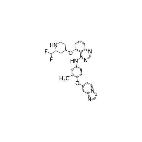 Cc1cc(Nc2ncnc3cccc(OC4CCNC(C(F)F)C4)c23)ccc1Oc1ccn2ccnc2c1